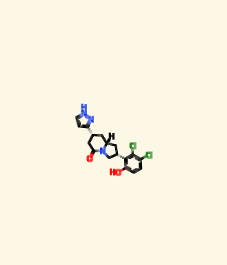 O=C1C[C@H](c2cc[nH]n2)C[C@@H]2C[C@H](c3c(O)ccc(Cl)c3Cl)CN12